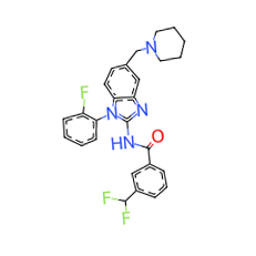 O=C(Nc1nc2cc(CN3CCCCC3)ccc2n1-c1ccccc1F)c1cccc(C(F)F)c1